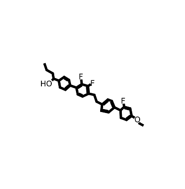 CCCC(O)C1C=CC(c2ccc(CCc3ccc(C4CC=C(OCC)C=C4F)cc3)c(F)c2F)=CC1